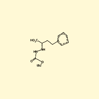 CC(C)(C)OC(=O)NNC(CCc1ccccc1)C(=O)O